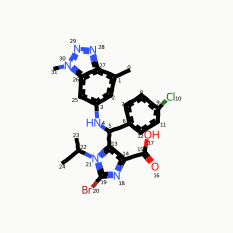 Cc1cc(NC(c2ccc(Cl)cc2)c2c(C(=O)O)nc(Br)n2C(C)C)cc2c1nnn2C